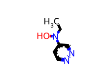 CCN(O)c1[c]nncc1